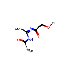 CCOCC(=O)N=C(NC(=O)OC)SC